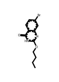 CCCCOc1nc2cc(Br)ccc2c(=O)[nH]1